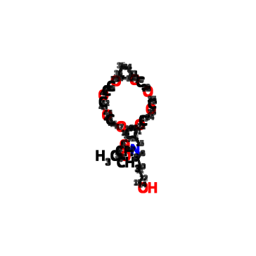 CC(C)(C)OC(=O)N(CCCCCCO)Cc1ccc2c(c1)OCCOCCOCCOc1ccccc1OCCOCCOCCO2